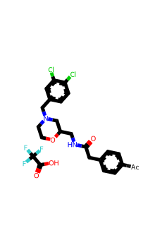 CC(=O)c1ccc(CC(=O)NCC2CN(Cc3ccc(Cl)c(Cl)c3)CCO2)cc1.O=C(O)C(F)(F)F